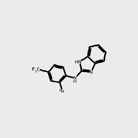 [2H]c1cc(C(F)(F)F)ccc1Nc1nc2ccccc2[nH]1